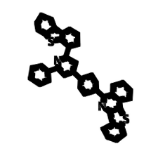 c1ccc(-c2cc(-c3ccc(-c4nc5c6ccccc6sc5c5ccccc45)cc3)cc(-c3cccc4c3sc3ccccc34)n2)cc1